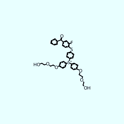 O=C(c1ccccc1)c1ccc(Sc2ccc([S+](c3ccc(OCCOCCO)cc3)c3ccc(OCCOCCO)cc3)cc2)c(F)c1